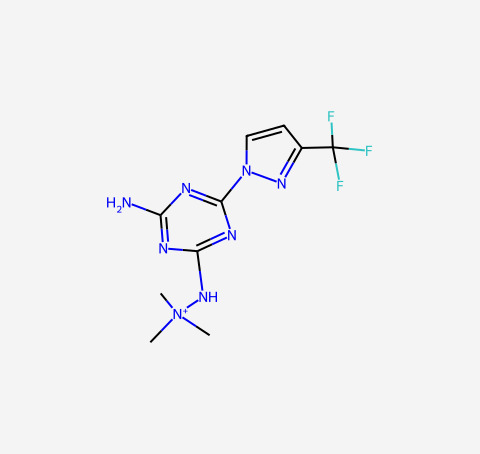 C[N+](C)(C)Nc1nc(N)nc(-n2ccc(C(F)(F)F)n2)n1